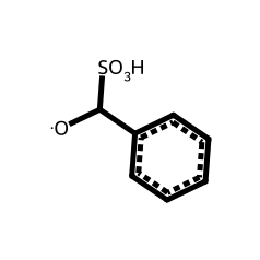 [O]C(c1ccccc1)S(=O)(=O)O